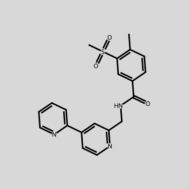 Cc1ccc(C(=O)NCc2cc(-c3ccccn3)ccn2)cc1S(C)(=O)=O